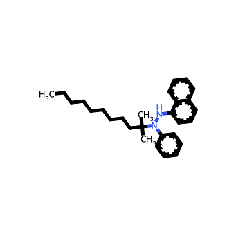 CCCCCCCCCC(C)(C)N(Nc1cccc2ccccc12)c1ccccc1